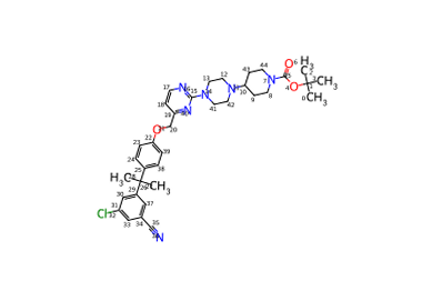 CC(C)(C)OC(=O)N1CCC(N2CCN(c3nccc(COc4ccc(C(C)(C)c5cc(Cl)cc(C#N)c5)cc4)n3)CC2)CC1